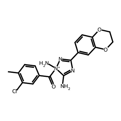 Cc1ccc(C(=O)[N+]2(N)N=C(c3ccc4c(c3)OCCO4)N=C2N)cc1Cl